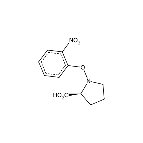 O=C(O)[C@@H]1CCCN1Oc1ccccc1[N+](=O)[O-]